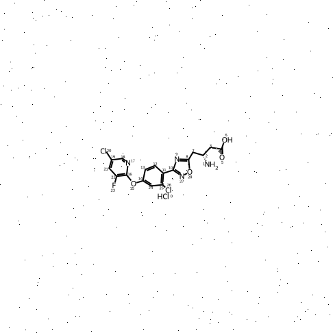 Cl.N[C@@H](CC(=O)O)Cc1nc(-c2ccc(Oc3ncc(Cl)cc3F)cc2Cl)no1